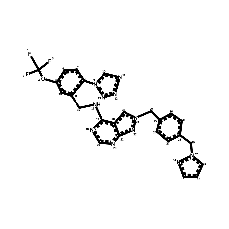 FC(F)(F)Oc1ccc(-n2cnnn2)c(CNc2ncnc3nn(Cc4ccc(Cn5cccn5)cc4)cc23)c1